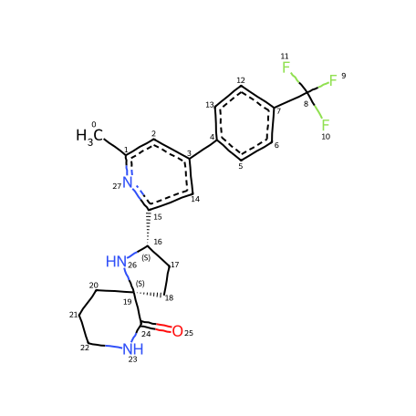 Cc1cc(-c2ccc(C(F)(F)F)cc2)cc([C@@H]2CC[C@]3(CCCNC3=O)N2)n1